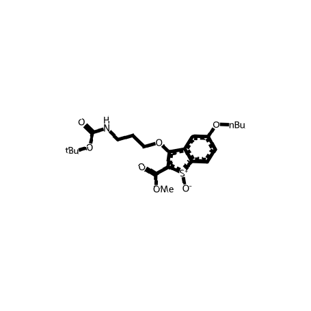 CCCCOc1ccc2c(c1)c(OCCCNC(=O)OC(C)(C)C)c(C(=O)OC)[s+]2[O-]